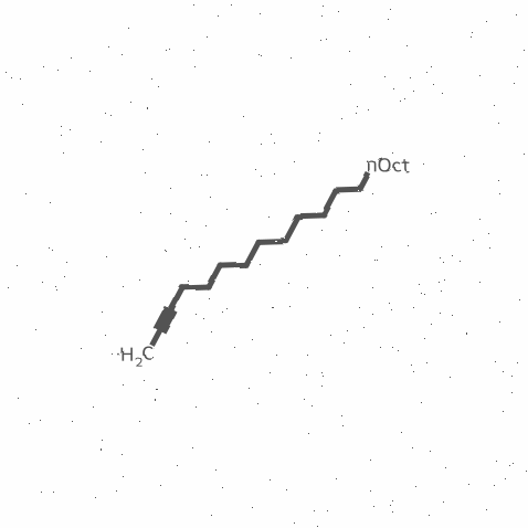 [CH2]C#CCCCCCCCCCCCCCCCCC[CH2]